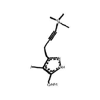 COc1[nH]nc(CC#C[Si](C)(C)C)c1I